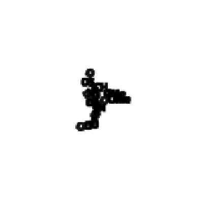 COc1cc2nc(N3CCN(C(=O)COc4ccccc4)CC3)nc(NC(=O)[C@@H]3CCCN3C(=O)C(C)CSC(=O)c3ccccc3)c2cc1OC